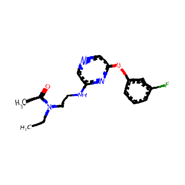 CCN(CCNc1cncc(Oc2cccc(F)c2)n1)C(C)=O